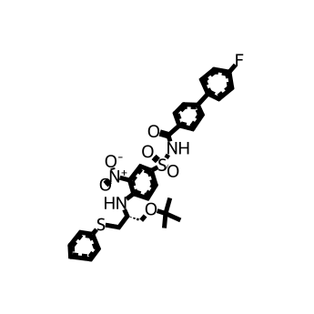 CC(C)(C)OC[C@H](CSc1ccccc1)Nc1ccc(S(=O)(=O)NC(=O)c2ccc(-c3ccc(F)cc3)cc2)cc1[N+](=O)[O-]